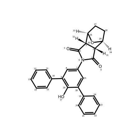 O=C1[C@@H]2[C@H](C(=O)N1c1cc(-c3ccccc3)c(O)c(-c3ccccc3)c1)[C@H]1CC[C@@H]2O1